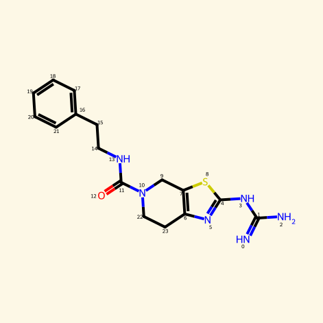 N=C(N)Nc1nc2c(s1)CN(C(=O)NCCc1ccccc1)CC2